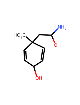 NC(O)CC1(C(=O)O)C=CC(O)C=C1